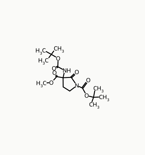 COC(=O)C1(NC(=O)OC(C)(C)C)CCN(C(=O)OC(C)(C)C)C1=O